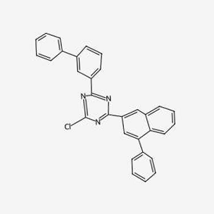 Clc1nc(-c2cccc(-c3ccccc3)c2)nc(-c2cc(-c3ccccc3)c3ccccc3c2)n1